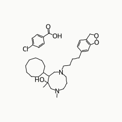 CN1CCCN(CCCCc2ccc3c(c2)OOC3)CC(C2CCCCCCCC2)C(C)(O)C1.O=C(O)c1ccc(Cl)cc1